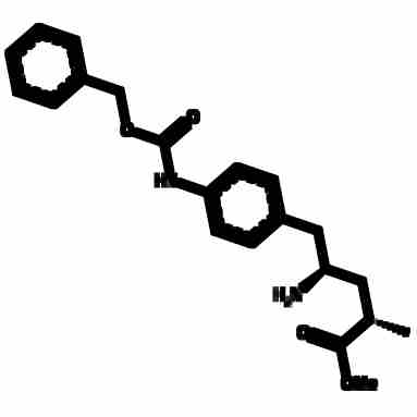 COC(=O)[C@@H](C)C[C@@H](N)Cc1ccc(NC(=O)OCc2ccccc2)cc1